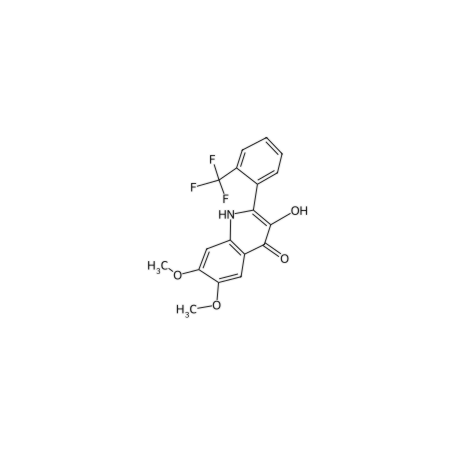 COc1cc2[nH]c(-c3ccccc3C(F)(F)F)c(O)c(=O)c2cc1OC